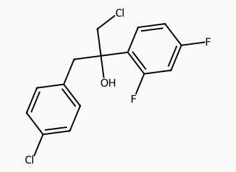 OC(CCl)(Cc1ccc(Cl)cc1)c1ccc(F)cc1F